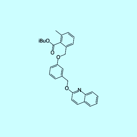 Cc1cccc(COc2cccc(COc3ccc4ccccc4n3)c2)c1C(=O)OCC(C)C